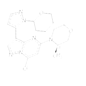 C[C@@H]1COCCN1c1cc(Cl)n2ncc(-c3ccnn3C3CCCCO3)c2n1